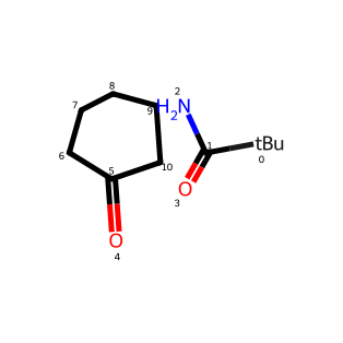 CC(C)(C)C(N)=O.O=C1CCCCC1